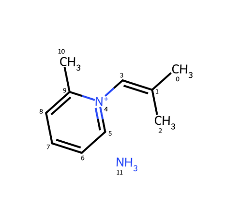 CC(C)=C[n+]1ccccc1C.N